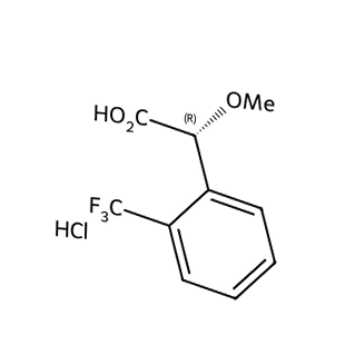 CO[C@@H](C(=O)O)c1ccccc1C(F)(F)F.Cl